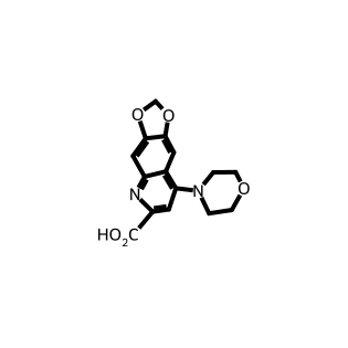 O=C(O)c1cc(N2CCOCC2)c2cc3c(cc2n1)OCO3